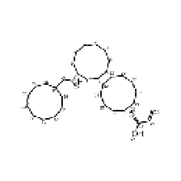 C1CCCCCCCCC1.C1CCCCCCCCC1.C=CC(=O)O.OCC1CCCCCCCCC1